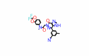 Cc1cc(C#N)cc(-c2nn(CC(=O)N(C)c3ccc4c(c3)OC(F)(F)O4)c(=O)c3nc[nH]c23)c1